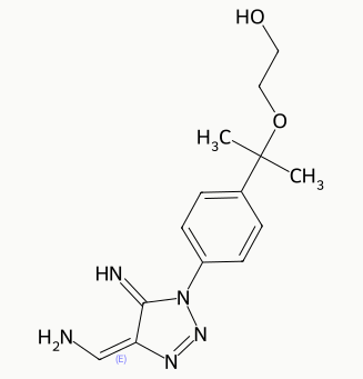 CC(C)(OCCO)c1ccc(N2N=N/C(=C/N)C2=N)cc1